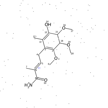 COC1=C(C/C=C(\C)C(N)=O)C(C)=C(O)C(OC)C1OC